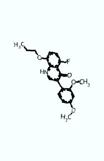 CCCOc1ccc(F)c2c(=O)c(-c3ccc(OC)cc3OC)c[nH]c12